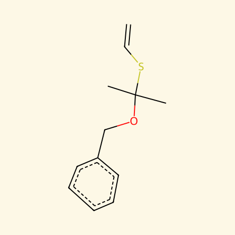 C=CSC(C)(C)OCc1ccccc1